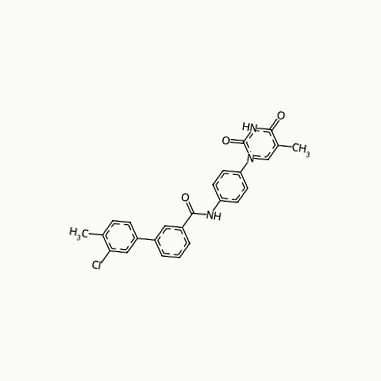 Cc1ccc(-c2cccc(C(=O)Nc3ccc(-n4cc(C)c(=O)[nH]c4=O)cc3)c2)cc1Cl